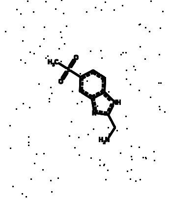 CS(=O)(=O)c1ccc2[nH]c(CN)nc2c1